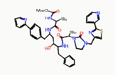 COC(=O)NC(C(=O)NC(Cc1ccc(-c2ccccn2)cc1)CC(O)C(Cc1ccccc1)NC(=O)C(N1CCN(Cc2csc(-c3cccnc3)n2)C1=O)C(C)(C)C)C(C)(C)C